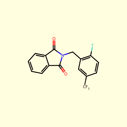 O=C1c2ccccc2C(=O)N1Cc1cc(C(F)(F)F)ccc1F